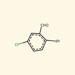 CCCc1ccc(Cl)cc1C=O